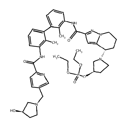 CCOP(=O)(OCC)O[C@@H]1CCN([C@H]2CCCn3nc(C(=O)Nc4cccc(-c5cccc(NC(=O)c6ccc(CN7CC[C@@H](O)C7)cn6)c5C)c4C)cc32)C1